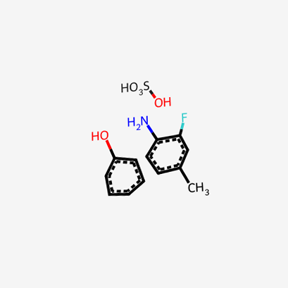 Cc1ccc(N)c(F)c1.O=S(=O)(O)O.Oc1ccccc1